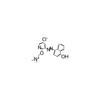 C[N+](C)(C)CCOc1ncccc1/N=N/c1ccc(O)c2ccccc12.[Cl-]